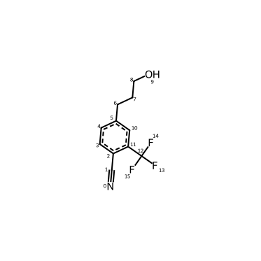 N#Cc1ccc(CCCO)cc1C(F)(F)F